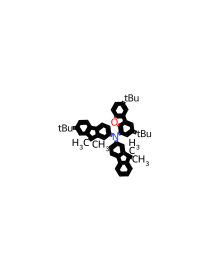 CC(C)(C)c1ccc2c(c1)C(C)(C)c1cc(N(c3ccc4c(c3)C(C)(C)c3ccccc3-4)c3cc(C(C)(C)C)cc4c3oc3ccc(C(C)(C)C)cc34)ccc1-2